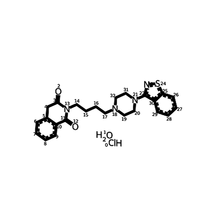 Cl.O.O=C1Cc2ccccc2C(=O)N1CCCCN1CCN(c2nsc3ccccc23)CC1